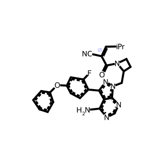 CC(C)/C=C(/C#N)C(=O)N1CCC1Cn1nc(-c2ccc(Oc3ccccc3)cc2F)c2c(N)ncnc21